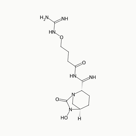 N=C(N)NOCCCC(=O)NC(=N)[C@@H]1CC[C@@H]2CN1C(=O)N2O